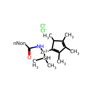 CCCCCCCCCC(=O)[NH][Zr+2]([C]1=C(C)C(C)=C(C)C1C)[SiH](C)C.[Cl-].[Cl-]